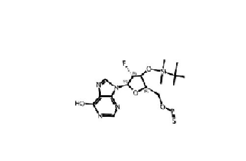 CC(C)(C)[Si](C)(C)OC1[C@@H](F)[C@H](n2cnc3c(O)ncnc32)O[C@@H]1COP=S